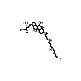 CC(C)C(=O)CC[C@@H](C)[C@H]1CCC2C3C(CC[C@@]21C)[C@@]1(C)CC[C@H](NCCCNCCCCNCCCN)C[C@@H]1C[C@H]3O